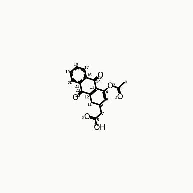 CC(=O)OC1=CC(CC(=O)O)CC2=C1C(=O)c1ccccc1C2=O